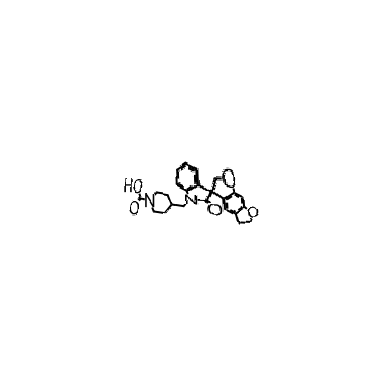 O=C(O)N1CCC(CN2C(=O)C3(COc4cc5c(cc43)CCO5)c3ccccc32)CC1